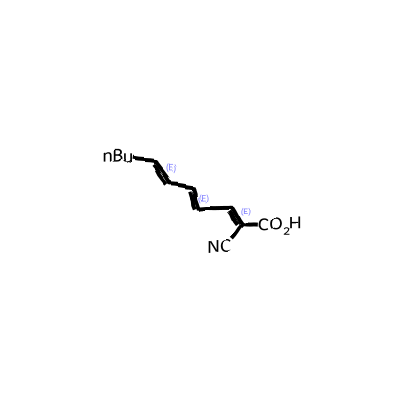 CCCC/C=C/C=C/C=C(\C#N)C(=O)O